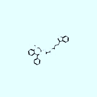 C[C@H](NC(=O)CCc1c[nH]c2ccccc12)C(=O)N[C@@H]1CN(C)c2ccccc2C(c2ccccc2)=N1